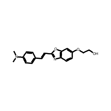 CN(C)c1ccc(/C=C/c2nc3ccc(OCCO)cc3o2)cc1